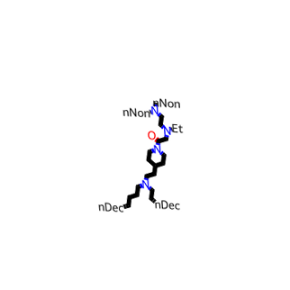 CCCCCCCCCCCCCCN(CCCCCCCCCCCC)CCC1CCN(C(=O)CN(CC)CCN(CCCCCCCCC)CCCCCCCCC)CC1